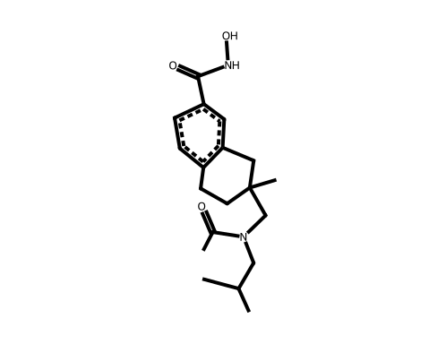 CC(=O)N(CC(C)C)CC1(C)CCc2ccc(C(=O)NO)cc2C1